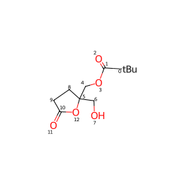 CC(C)(C)C(=O)OCC1(CO)CCC(=O)O1